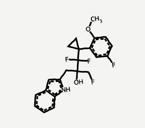 COc1ccc(F)cc1C1(C(F)(F)C(O)(CF)Cc2cc3ccccc3[nH]2)CC1